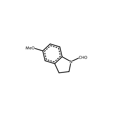 COc1ccc2c(c1)CCN2C=O